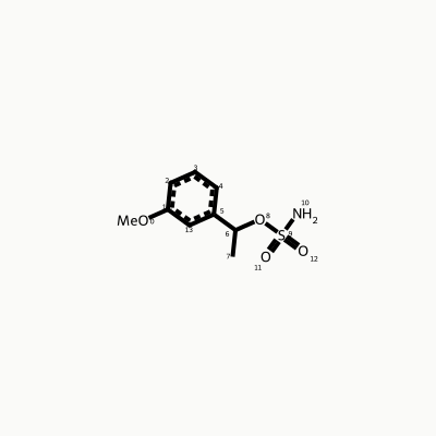 COc1cccc(C(C)OS(N)(=O)=O)c1